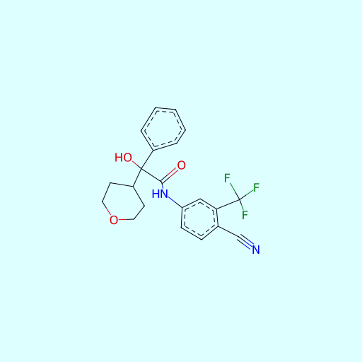 N#Cc1ccc(NC(=O)C(O)(c2ccccc2)C2CCOCC2)cc1C(F)(F)F